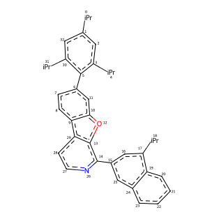 CC(C)c1cc(C(C)C)c(-c2ccc3c(c2)oc2c(-c4cc(C(C)C)c5ccccc5c4)nccc23)c(C(C)C)c1